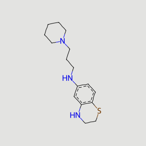 c1cc2c(cc1NCCCN1CCCCC1)NCCS2